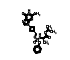 CC(C)OC(=O)[C@H](C)NP(=O)(OC[C@H]1C[C@@H](n2cnc3c(=O)[nH]c(N)nc32)C1)Oc1ccccc1